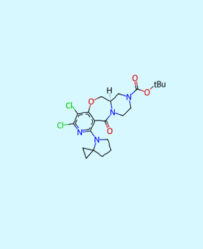 CC(C)(C)OC(=O)N1CCN2C(=O)c3c(N4CCCC45CC5)nc(Cl)c(Cl)c3OC[C@H]2C1